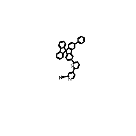 N#Cc1cc(-c2cccc(-c3ccc4c(c3)-c3cc(-c5ccccc5)ccc3C43c4ccccc4-c4ccccc43)n2)ccn1